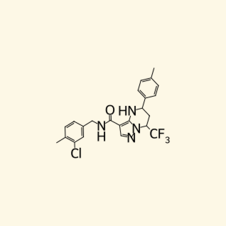 Cc1ccc(C2CC(C(F)(F)F)n3ncc(C(=O)NCc4ccc(C)c(Cl)c4)c3N2)cc1